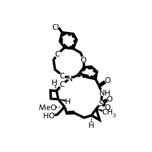 CO[C@@]1(CO)/C=C/C[C@@H]2C[C@@]2(C)S(=O)(=O)NC(=O)c2ccc3c(c2)N(CCCCc2cc(Cl)ccc2CO3)C[C@@H]2CC[C@H]21